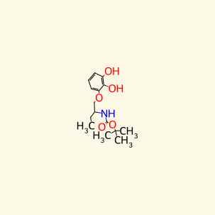 CCC(COc1cccc(O)c1O)NC(=O)OC(C)(C)C